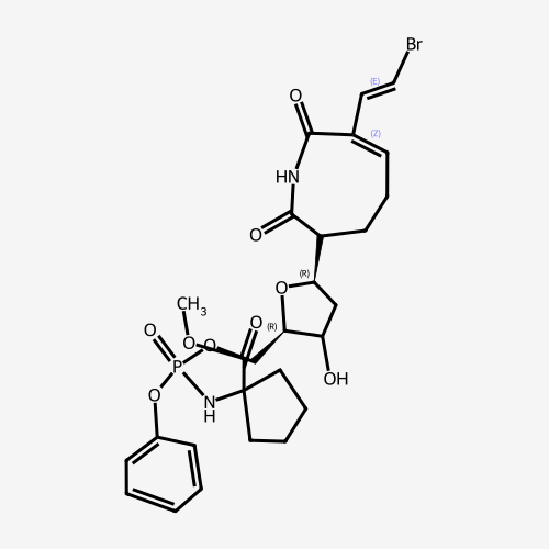 COC(=O)C1(NP(=O)(OC[C@H]2O[C@@H](C3CC/C=C(/C=C/Br)C(=O)NC3=O)CC2O)Oc2ccccc2)CCCC1